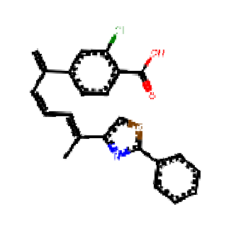 C=C(/C=C\C=C(/C)c1csc(-c2ccccc2)n1)c1ccc(C(=O)O)c(Cl)c1